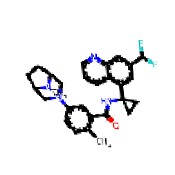 Cc1ccc(N2CC3CCC(C2)N3C)cc1C(=O)NC1(c2cc(C(F)F)cc3ncccc23)CC1